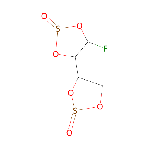 O=S1OCC(C2OS(=O)OC2F)O1